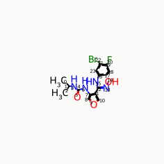 CC(C)NC(=O)Nc1cocc1/C(=N/O)Nc1ccc(F)c(Br)c1